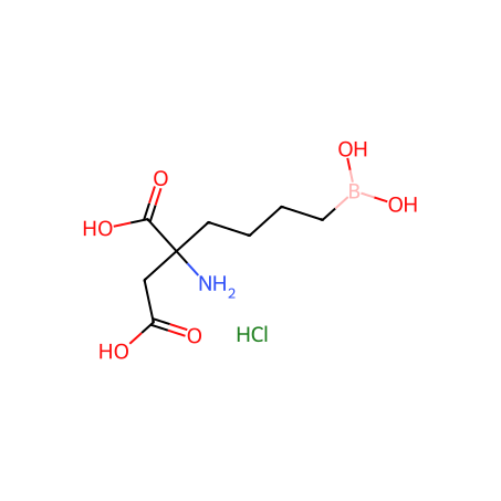 Cl.NC(CCCCB(O)O)(CC(=O)O)C(=O)O